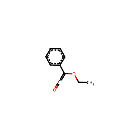 CCOC(=C=O)c1cc[c]cc1